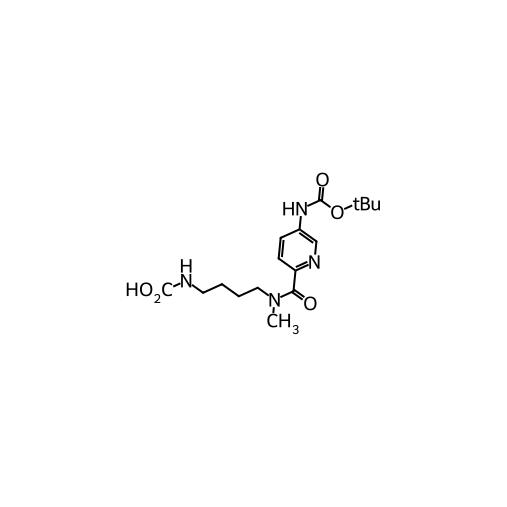 CN(CCCCNC(=O)O)C(=O)c1ccc(NC(=O)OC(C)(C)C)cn1